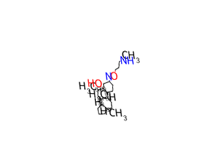 CNCCCON=C1CC[C@]2(C)[C@H]3CC[C@]4(C)CCC[C@H]4[C@@H]3C[C@H](C)[C@@]2(O)C1